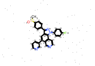 C[S+]([O-])c1ccc(-c2nn(-c3ccc(F)cc3)c3c2cc(-c2cccnc2)c2cnccc23)cc1